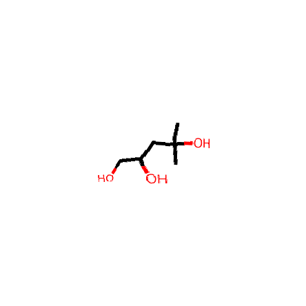 CC(C)(O)CC(O)CO